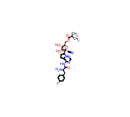 CC(C)C(=O)OC[C@H]1O[C@@](C#N)(c2ccc3c(NC(=O)[C@@H](N)Cc4ccc(F)cc4)ncnn23)[C@H](O)[C@@H]1O